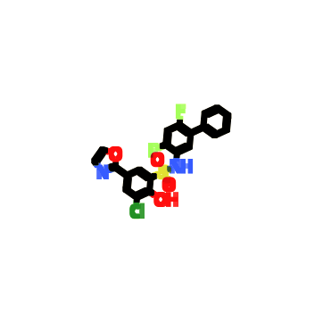 O=S(=O)(Nc1cc(-c2ccccc2)c(F)cc1F)c1cc(-c2ncco2)cc(Cl)c1O